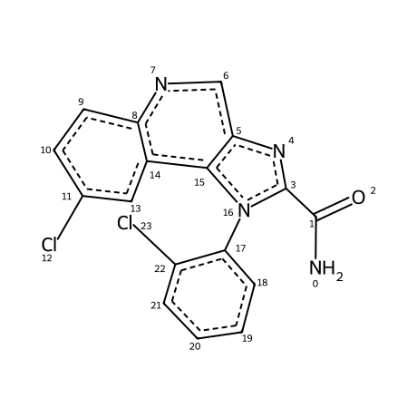 NC(=O)c1nc2cnc3ccc(Cl)cc3c2n1-c1ccccc1Cl